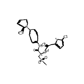 CS(=O)(=O)C[C@H](NC(=O)c1ccc(Cl)s1)C(=O)Nc1ccc(-n2ccccc2=O)cc1